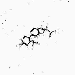 CC(=O)Nc1nc2ccc(-c3cnc(N)nc3C(F)(F)F)cc2s1